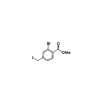 COC(=O)c1ccc(CI)cc1Br